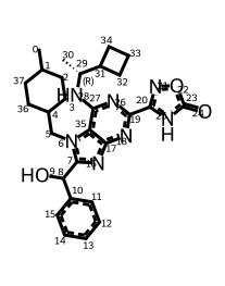 CC1CCC(Cn2c(C(O)c3ccccc3)nc3nc(-c4noc(=O)[nH]4)nc(N[C@H](C)C4CCC4)c32)CC1